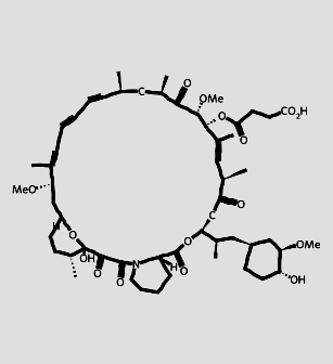 CO[C@H]1C[C@@H]2CC[C@@H](C)[C@@](O)(O2)C(=O)C(=O)N2CCCC[C@H]2C(=O)O[C@H]([C@H](C)C[C@@H]2CC[C@@H](O)[C@H](OC)C2)CC(=O)[C@H](C)/C=C(\C)[C@@H](OC(=O)CCC(=O)O)[C@@H](OC)C(=O)[C@H](C)C[C@H](C)/C=C/C=C/C=C/1C